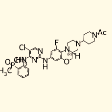 CC(=O)N1CCC(N2CCN3c4c(F)cc(Nc5ncc(Cl)c(Nc6ccccc6P(C)(C)=O)n5)cc4OC[C@H]3C2)CC1